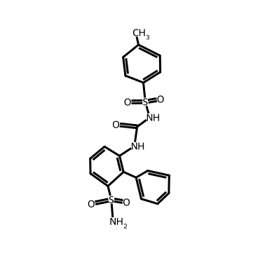 Cc1ccc(S(=O)(=O)NC(=O)Nc2cccc(S(N)(=O)=O)c2-c2ccccc2)cc1